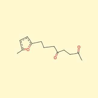 CC(=O)CCC(=O)CCCc1ccc(C)o1